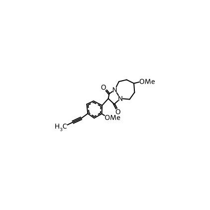 CC#Cc1ccc(C2C(=O)N3CCC(OC)CCN3C2=O)c(OC)c1